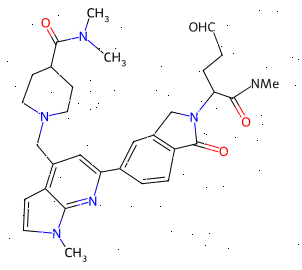 CNC(=O)C(CCC=O)N1Cc2cc(-c3cc(CN4CCC(C(=O)N(C)C)CC4)c4ccn(C)c4n3)ccc2C1=O